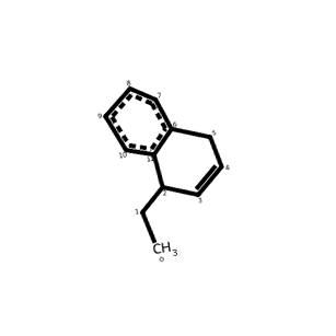 CCC1C=CCc2ccccc21